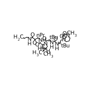 C=CCNC(=O)C(=O)C(CCC)NC(=O)[C@@H]1[C@@H]2[C@H](CN1C(=O)[C@@H](NC(=O)N[C@H](CN1CCCN(C)S1(=O)=O)C(C)(C)C)C(C)(C)C)C2(C)C